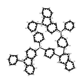 c1ccc(N(c2ccc(-c3nc4ccccc4nc3-c3ccc(N(c4ccccc4)c4ccc5c(c4)c4ccccc4n5-c4ccccc4)cc3)cc2)c2ccc3c(c2)c2ccccc2n3-c2ccccc2)cc1